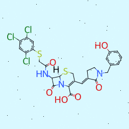 O=C(CSc1cc(Cl)c(Cl)cc1Cl)N[C@@H]1C(=O)N2C(C(=O)O)=C(C=C3CCN(Cc4cccc(O)c4)C3=O)CS[C@H]12